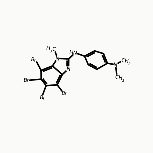 CN(C)c1ccc(Nc2nc3c(Br)c(Br)c(Br)c(Br)c3n2C)cc1